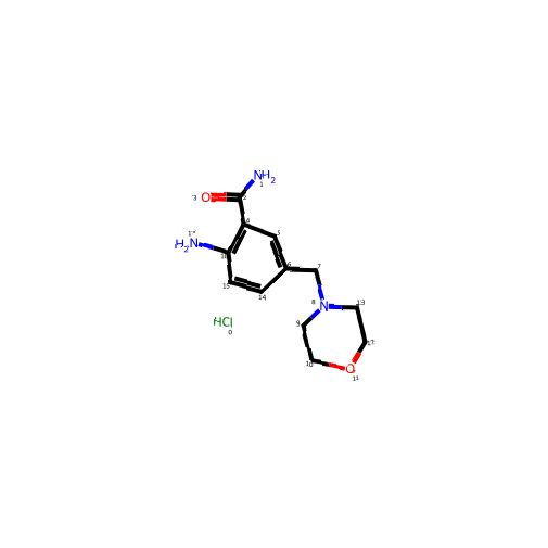 Cl.NC(=O)c1cc(CN2CCOCC2)ccc1N